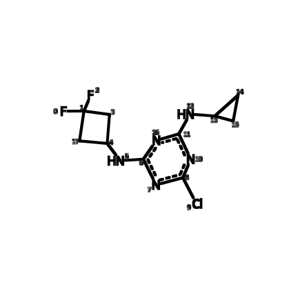 FC1(F)CC(Nc2nc(Cl)nc(NC3CC3)n2)C1